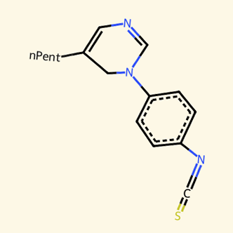 CCCCCC1=CN=CN(c2ccc(N=C=S)cc2)C1